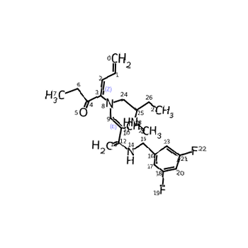 C=C/C=C(/C(=O)CC)N(/C=C(\C)C(=C)NCc1cc(F)cc(F)c1)CC(CC)NC